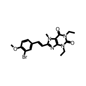 CCn1c(=O)c2c(nc(C=Cc3ccc(OC)c(Br)c3)n2C)n(CC)c1=O